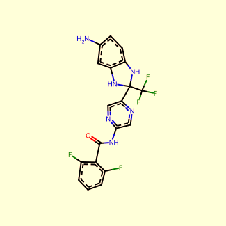 Nc1ccc2c(c1)NC(c1cnc(NC(=O)c3c(F)cccc3F)cn1)(C(F)(F)F)N2